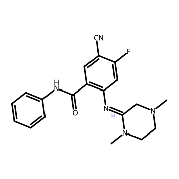 CN1CCN(C)/C(=N/c2cc(F)c(C#N)cc2C(=O)Nc2ccccc2)C1